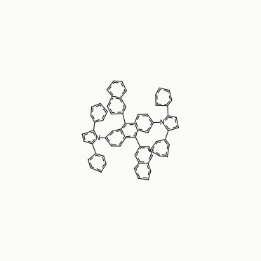 c1ccc(-c2ccc(-c3ccccc3)n2-c2ccc3c(-c4ccc5ccccc5c4)c4cc(-n5c(-c6ccccc6)ccc5-c5ccccc5)ccc4c(-c4ccc5ccccc5c4)c3c2)cc1